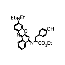 CCOC(=O)C(Cc1ccc(O)cc1)N=c1cc2oc3cc(N(CC)CC)ccc3nc-2c2ccccc12